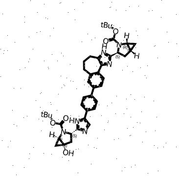 CC(C)(C)OC(=O)N1[C@@H]2C[C@@H]2C[C@H]1c1nc2c([nH]1)CCCc1cc(-c3ccc(-c4cnc([C@@H]5C[C@@]6(O)C[C@H]6N5C(=O)OC(C)(C)C)[nH]4)cc3)ccc1-2